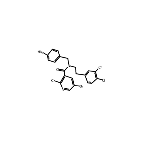 CC(C)(C)c1ccc(CN(CCc2ccc(Cl)c(Cl)c2)C(=O)c2cc(Br)cnc2Cl)cc1